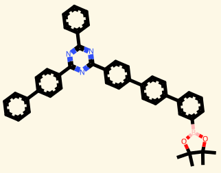 CC1(C)OB(c2cccc(-c3ccc(-c4ccc(-c5nc(-c6ccccc6)nc(-c6ccc(-c7ccccc7)cc6)n5)cc4)cc3)c2)OC1(C)C